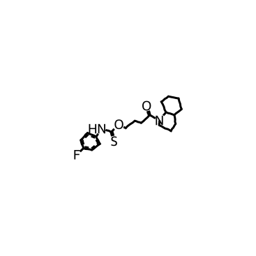 O=C(CCCOC(=S)Nc1ccc(F)cc1)N1CCCC2CCCCC21